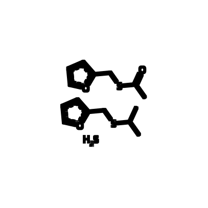 CC(=O)SCc1ccco1.CC(C)SCc1ccco1.S